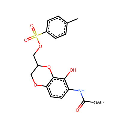 COC(=O)Nc1ccc2c(c1O)OC(COS(=O)(=O)c1ccc(C)cc1)CO2